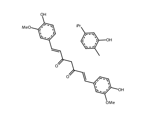 COc1cc(C=CC(=O)CC(=O)C=Cc2ccc(O)c(OC)c2)ccc1O.Cc1ccc(C(C)C)cc1O